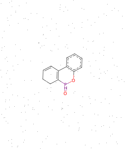 O=[PH]1Oc2ccccc2C2=C1CCC=C2